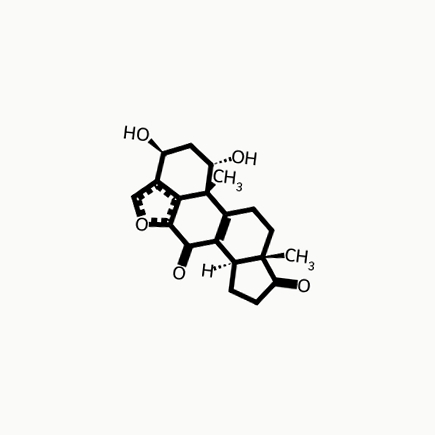 C[C@]12CCC3=C(C(=O)c4occ5c4[C@]3(C)[C@@H](O)C[C@@H]5O)[C@@H]1CCC2=O